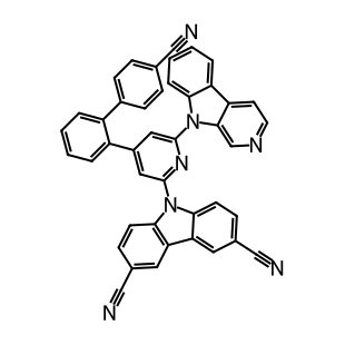 N#Cc1ccc(-c2ccccc2-c2cc(-n3c4ccc(C#N)cc4c4cc(C#N)ccc43)nc(-n3c4ccccc4c4ccncc43)c2)cc1